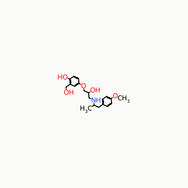 COc1ccc(CC(C)NCC(O)COc2ccc(O)c(CO)c2)cc1